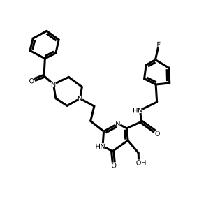 O=C(NCc1ccc(F)cc1)c1nc(CCN2CCN(C(=O)c3ccccc3)CC2)[nH]c(=O)c1CO